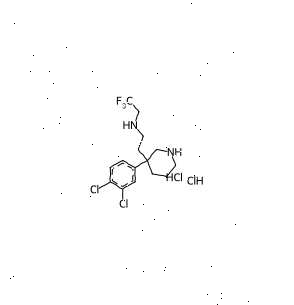 Cl.Cl.FC(F)(F)CNCCC1(c2ccc(Cl)c(Cl)c2)CCCNC1